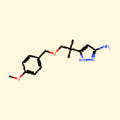 COc1ccc(COCC(C)(C)c2cc(N)n[nH]2)cc1